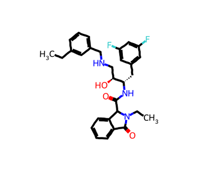 CCc1cccc(CNC[C@H](O)[C@H](Cc2cc(F)cc(F)c2)NC(=O)C2c3ccccc3C(=O)N2CC)c1